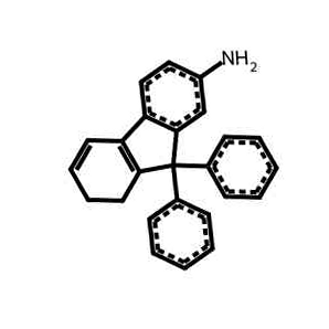 Nc1ccc2c(c1)C(c1ccccc1)(c1ccccc1)C1=C2C=CCC1